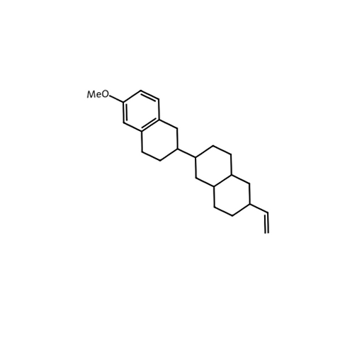 C=CC1CCC2CC(C3CCc4cc(OC)ccc4C3)CCC2C1